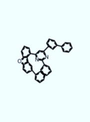 c1ccc(-c2cccc(-c3cc(-c4cccc5oc6ccc(-c7ccccc7)cc6c45)nc(-c4ccccc4)n3)c2)cc1